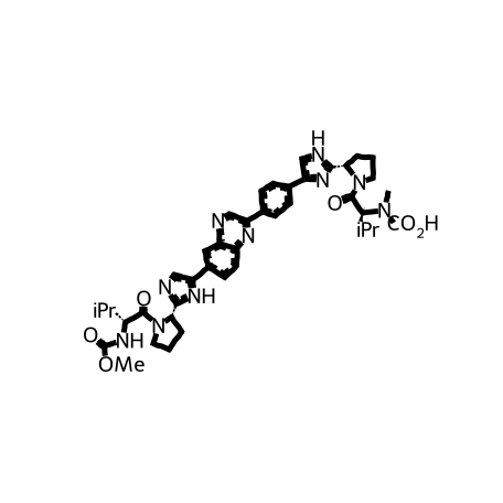 COC(=O)N[C@@H](C(=O)N1CCC[C@H]1c1ncc(-c2ccc3nc(-c4ccc(-c5c[nH]c([C@@H]6CCCN6C(=O)[C@H](C(C)C)N(C)C(=O)O)n5)cc4)cnc3c2)[nH]1)C(C)C